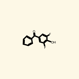 O=C(c1ccccc1)c1cc(F)c(O)c(F)c1